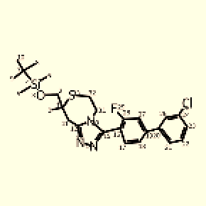 CC1(CO[Si](C)(C)C(C)(C)C)Cc2nnc(-c3ccc(-c4cccc(Cl)c4)cc3F)n2CCS1